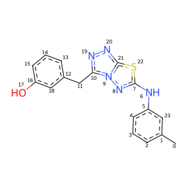 Cc1cccc(Nc2nn3c(Cc4cccc(O)c4)nnc3s2)c1